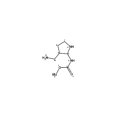 CC(C)(C)OC(=O)NC1NCCC1CN